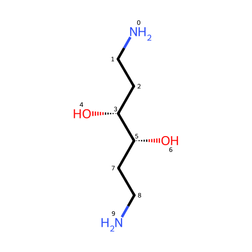 NCC[C@@H](O)[C@H](O)CCN